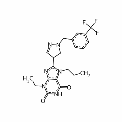 CCCn1c(C2C=NN(Cc3cccc(C(F)(F)F)c3)C2)nc2c1c(=O)[nH]c(=O)n2CC